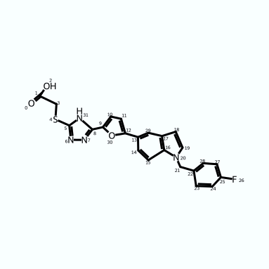 O=C(O)CSc1nnc(-c2ccc(-c3ccc4c(ccn4Cc4ccc(F)cc4)c3)o2)[nH]1